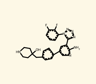 Nc1ncc(-c2ccc(CC3(O)CCNCC3)cc2)cc1-c1nnnn1-c1cccc(F)c1F